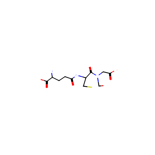 NC(CCC(=O)NC(CS)C(=O)N(CO)CC(=O)O)C(=O)O